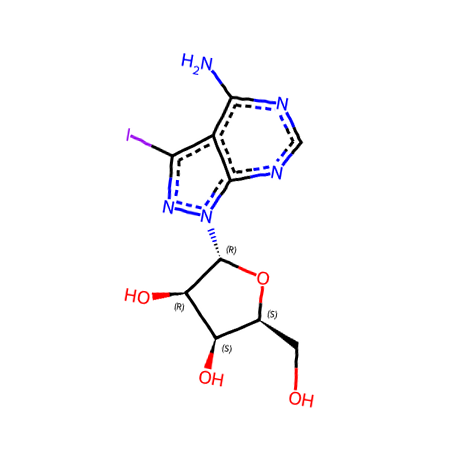 Nc1ncnc2c1c(I)nn2[C@@H]1O[C@@H](CO)[C@@H](O)[C@H]1O